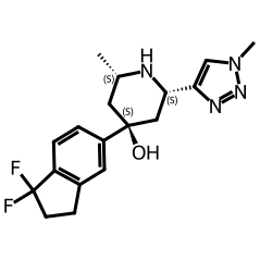 C[C@H]1C[C@@](O)(c2ccc3c(c2)CCC3(F)F)C[C@@H](c2cn(C)nn2)N1